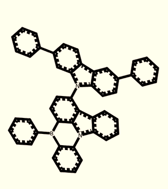 c1ccc(B2c3ccccc3-n3c4ccccc4c4c(-n5c6ccc(-c7ccccc7)cc6c6ccc(-c7ccccc7)cc65)ccc2c43)cc1